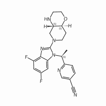 C[C@@H](c1ccc(C#N)cn1)n1c(N2CC[C@@H]3OCCN[C@H]3C2)nc2c(F)cc(F)cc21